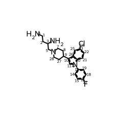 NCCC(N)CN1CCC(c2cn(-c3ccc(F)cc3)c3ccc(Cl)cc23)CC1